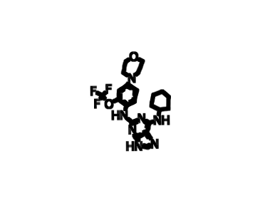 FC(F)(F)Oc1cc(N2CCOCC2)ccc1Nc1nc(NC2CCCCC2)c2nc[nH]c2n1